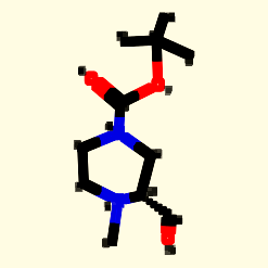 CN1CCN(C(=O)OC(C)(C)C)C[C@@H]1C=O